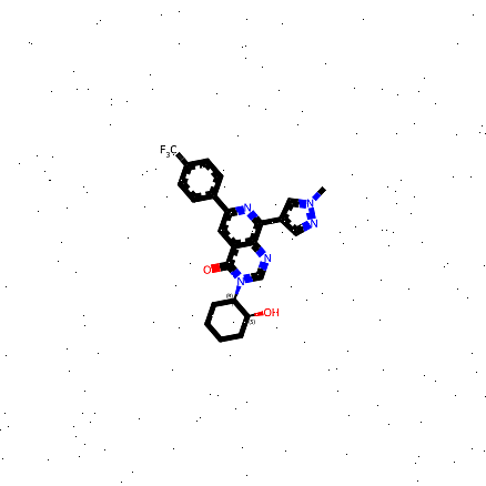 Cn1cc(-c2nc(-c3ccc(C(F)(F)F)cc3)cc3c(=O)n([C@@H]4CCCC[C@@H]4O)cnc23)cn1